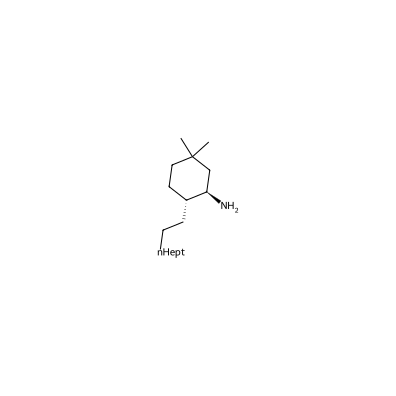 CCCCCCCCC[C@@H]1CCC(C)(C)C[C@H]1N